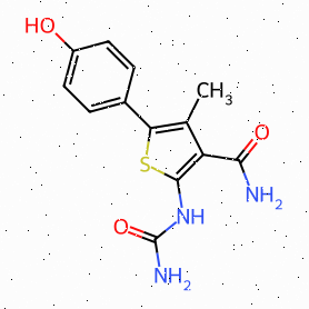 Cc1c(-c2ccc(O)cc2)sc(NC(N)=O)c1C(N)=O